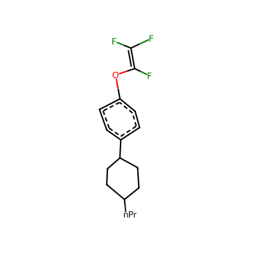 CCCC1CCC(c2ccc(OC(F)=C(F)F)cc2)CC1